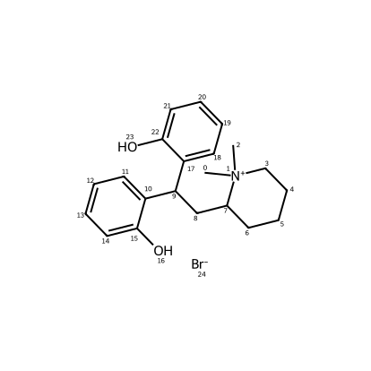 C[N+]1(C)CCCCC1CC(c1ccccc1O)c1ccccc1O.[Br-]